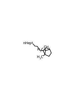 [CH2]CCCCCCCCCC1CC2CCC1(C)C2(C)C